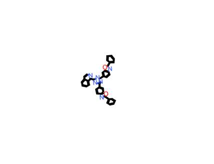 c1ccc(-c2nc3ccc(-c4nc(-c5ccc6nc(-c7ccccc7)oc6c5)nc(-c5nccc6ccccc56)n4)cc3o2)cc1